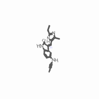 CC#CNc1ccc2c(c1)/C(=C/c1[nH]c(CC)nc1C)C(=O)N2